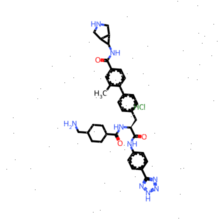 Cc1cc(C(=O)NC2C3CNCC32)ccc1-c1ccc(C[C@H](NC(=O)C2CCC(CN)CC2)C(=O)Nc2ccc(-c3nn[nH]n3)cc2)cc1.Cl